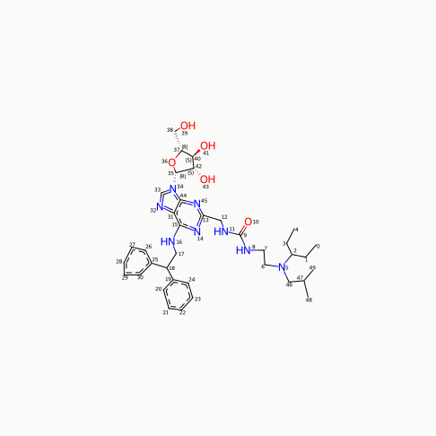 CCC(CC)N(CCNC(=O)NCc1nc(NCC(c2ccccc2)c2ccccc2)c2ncn([C@@H]3O[C@H](CO)[C@@H](O)[C@@H]3O)c2n1)CC(C)C